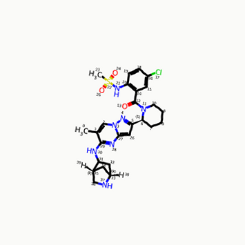 Cc1cn2nc([C@@H]3CCCCN3C(=O)c3cc(Cl)ccc3NS(C)(=O)=O)cc2nc1NC1C[C@H]2C[C@@H]1CN2